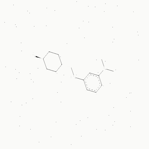 CN(C)c1cccc(NC[C@H]2CC[C@H](N)CC2)c1